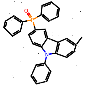 Cc1ccc2c(c1)c1cc(P(=O)(c3ccccc3)c3ccccc3)ccc1n2-c1ccccc1